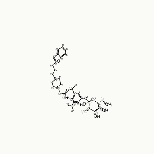 CC(C)c1cc(O[C@@]2(O)O[C@H](CO)[C@@H](O)[C@H](O)[C@H]2O)cc(C(C)C)c1NC(=O)CN1CCN(CCSc2nc3ccccc3o2)CC1